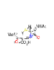 CSC(=O)C1(C(=O)O)CS[C@@H]2C(NC(C)=O)C(=O)N2C1